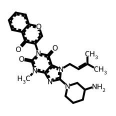 CC(C)=CCn1c(N2CCCC(N)C2)nc2c1c(=O)n(-c1coc3ccccc3c1=O)c(=O)n2C